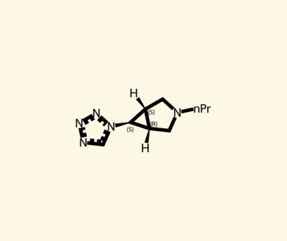 CCCN1C[C@@H]2[C@H](C1)[C@H]2n1cnnn1